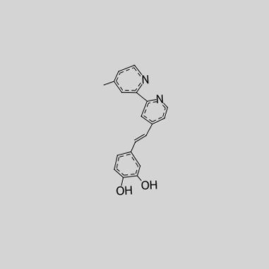 Cc1ccnc(-c2cc(C=Cc3ccc(O)c(O)c3)ccn2)c1